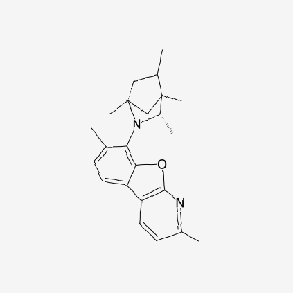 Cc1ccc2c(n1)oc1c(N3[C@@H](C)C4(C)CC3(C)CC4C)c(C)ccc12